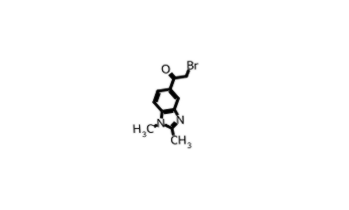 Cc1nc2cc(C(=O)CBr)ccc2n1C